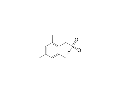 Cc1cc(C)c(CS(=O)(=O)F)c(C)c1